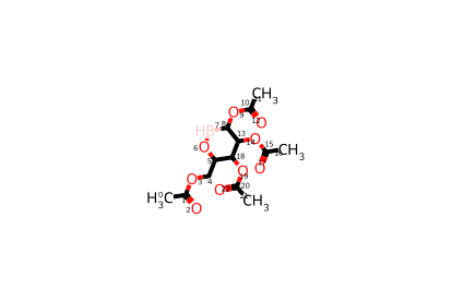 CC(=O)OCC1OBC(OC(C)=O)C(OC(C)=O)C1OC(C)=O